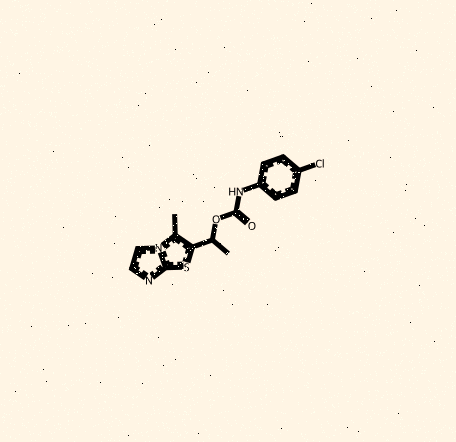 Cc1c(C(C)OC(=O)Nc2ccc(Cl)cc2)sc2nccn12